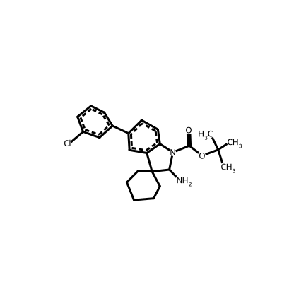 CC(C)(C)OC(=O)N1c2ccc(-c3cccc(Cl)c3)cc2C2(CCCCC2)C1N